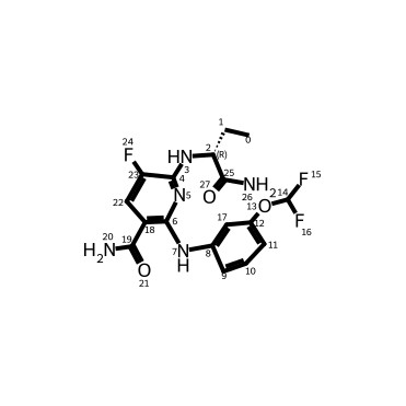 CC[C@@H](Nc1nc(Nc2cccc(OC(F)F)c2)c(C(N)=O)cc1F)C(N)=O